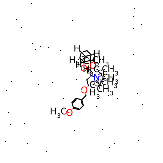 COc1ccc(COCC[C@@H](B2O[C@@H]3C[C@@H]4C[C@@H](C4(C)C)[C@]3(C)O2)N([Si](C)(C)C)[Si](C)(C)C)cc1